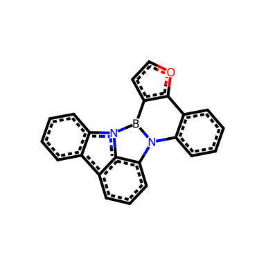 c1ccc2c(c1)-c1occc1B1N2c2cccc3c4ccccc4n1c23